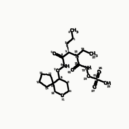 CCC[C@@H](C(=O)NOC1CCOCC12CCCC2)N(CC)C(=O)NOS(=O)(=O)O